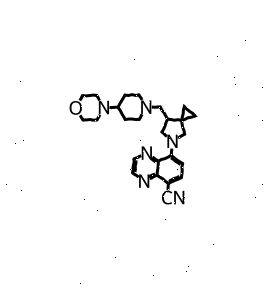 N#Cc1ccc(N2CC(CN3CCC(N4CCOCC4)CC3)C3(CC3)C2)c2nccnc12